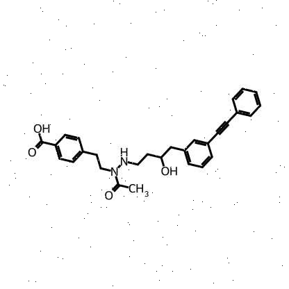 CC(=O)N(CCc1ccc(C(=O)O)cc1)NCCC(O)Cc1cccc(C#Cc2ccccc2)c1